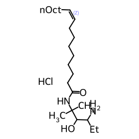 CCCCCCCC/C=C\CCCCCCCC(=O)NC(C)(C)C(O)C(N)CC.Cl